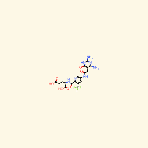 Nc1nc(N)c(CC(=O)Nc2cnc(C(=O)NC(CCC(=O)O)C(=O)O)c(C(F)(F)F)c2)c(=O)[nH]1